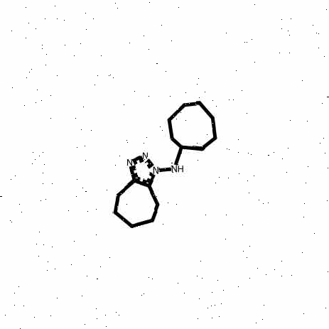 C1CCCC(Nn2nnc3c2CCCCC3)CCC1